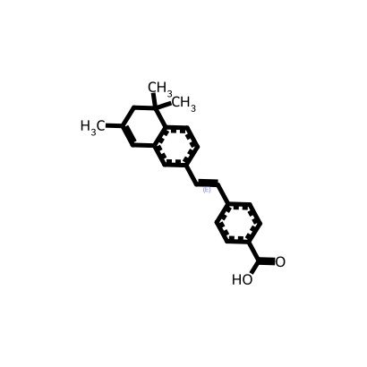 CC1=Cc2cc(/C=C/c3ccc(C(=O)O)cc3)ccc2C(C)(C)C1